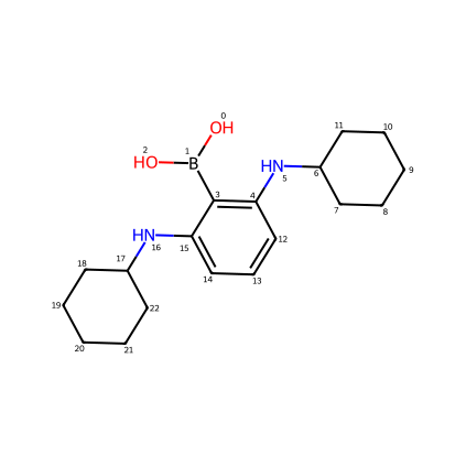 OB(O)c1c(NC2CCCCC2)cccc1NC1CCCCC1